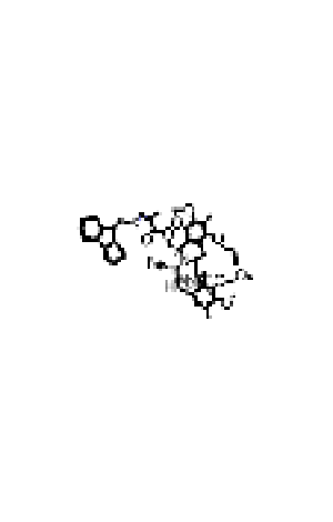 C=CCOc1c(C)c2c(c3c1CC1[C@@H]4c5c(cc(C)c(OC)c5OCOC)C[C@H]([C@H](C#N)N1[C@H]3COC(=O)/C(C)=C\SCC1c3ccccc3-c3ccccc31)N4C)OCO2